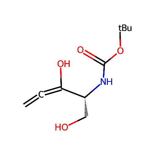 C=C=C(O)[C@@H](CO)NC(=O)OC(C)(C)C